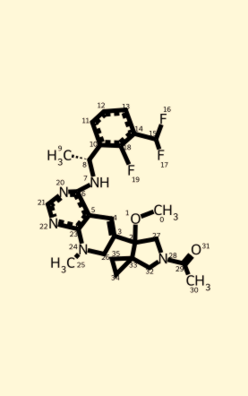 COC1(C2=Cc3c(N[C@H](C)c4cccc(C(F)F)c4F)ncnc3N(C)C2)CN(C(C)=O)CC12CC2